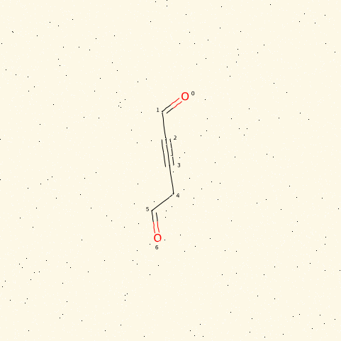 O=CC#CCC=O